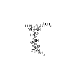 CCOCCC(=O)NC(CC(N)=O)CC(=O)NCCNC(=O)CCN1C(=O)CC(SC)C1=O